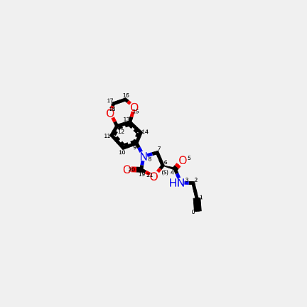 C#CCNC(=O)[C@@H]1CN(c2ccc3c(c2)OCCO3)C(=O)O1